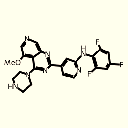 COc1cncc2nc(-c3ccnc(Nc4c(F)cc(F)cc4F)c3)nc(N3CCNCC3)c12